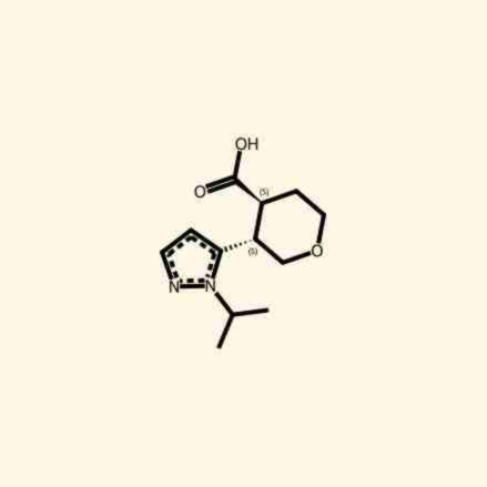 CC(C)n1nccc1[C@H]1COCC[C@@H]1C(=O)O